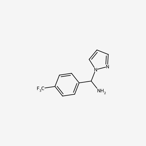 NC(c1ccc(C(F)(F)F)cc1)n1cccn1